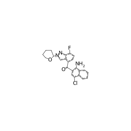 Nc1c(C(=O)c2ccc(F)c3nn(C4CCCCO4)cc23)cc(Cl)c2ccccc12